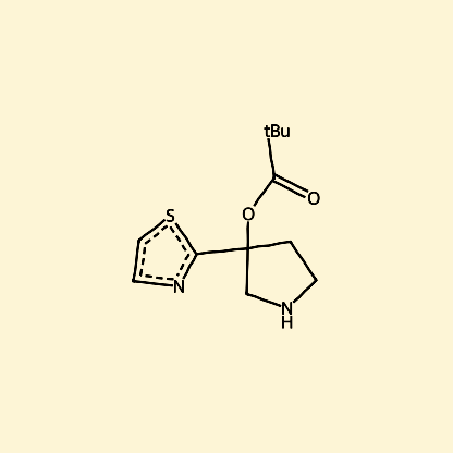 CC(C)(C)C(=O)OC1(c2nccs2)CCNC1